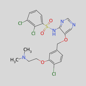 CN(C)CCOc1cc(COc2cncnc2NS(=O)(=O)c2cccc(Cl)c2Cl)ccc1Cl